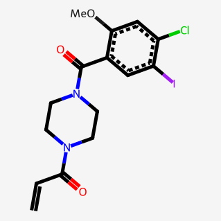 C=CC(=O)N1CCN(C(=O)c2cc(I)c(Cl)cc2OC)CC1